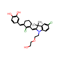 CC1(C)/C(=C\C2=C(Cl)C(=C/c3ccc(O)c(O)c3)/CCC2)N(CCOCCO)c2ccc(Cl)cc21